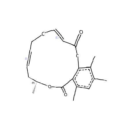 Cc1cc(C)c2c(c1C)CC(=O)/C=C/CC/C=C/C[C@@H](C)OC2=O